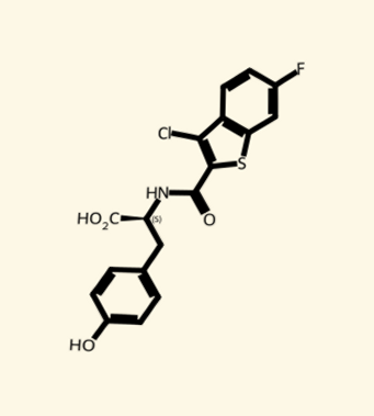 O=C(N[C@@H](Cc1ccc(O)cc1)C(=O)O)c1sc2cc(F)ccc2c1Cl